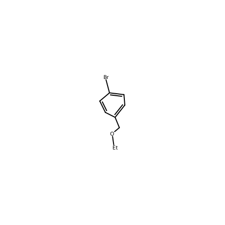 [CH2]COCc1ccc(Br)cc1